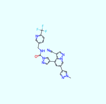 Cn1cc(-c2cc(-c3cnn(C(=O)NCc4ccc(C(F)(F)F)nc4)c3)c3c(C#N)cnn3c2)cn1